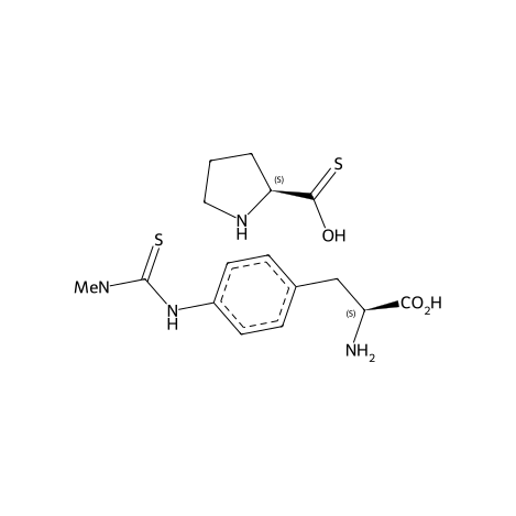 CNC(=S)Nc1ccc(C[C@H](N)C(=O)O)cc1.OC(=S)[C@@H]1CCCN1